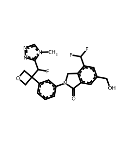 Cn1cnnc1C(F)C1(c2cccc(N3Cc4c(cc(CO)cc4C(F)F)C3=O)c2)COC1